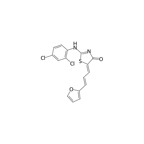 O=C1N=C(Nc2ccc(Cl)cc2Cl)SC1=CC=Cc1ccco1